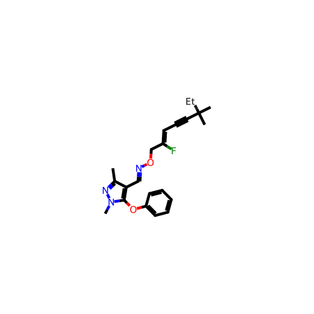 CCC(C)(C)C#CC=C(F)CON=Cc1c(C)nn(C)c1Oc1ccccc1